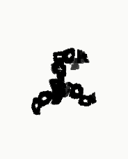 CCOC(=O)N1CCN(C(=O)[C@H](Cc2ccc(C#N)cc2)NS(=O)(=O)c2ccc3ccccc3c2)CC1